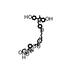 Cc1c(-c2ccc(O)cc2)n(Cc2ccc(OCCCCN3CCN(C(=O)COc4cccc5c(N6CCC(=O)NC6=O)nn(C)c45)CC3)cc2)c2ccc(O)cc12